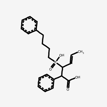 CC=CC(C(C(=O)O)c1ccccc1)P(=O)(O)CCCCc1ccccc1